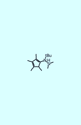 CC1=C(C)C(C)C(N([SiH](C)C)C(C)(C)C)=C1C